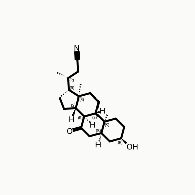 C[C@H](CC#N)[C@H]1CC[C@H]2[C@@H]3C(=O)C[C@@H]4C[C@H](O)CC[C@]4(C)[C@H]3CC[C@]12C